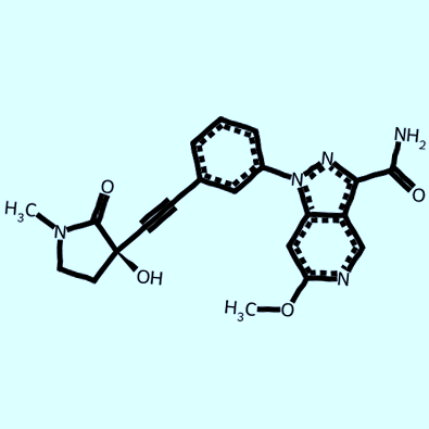 COc1cc2c(cn1)c(C(N)=O)nn2-c1cccc(C#C[C@]2(O)CCN(C)C2=O)c1